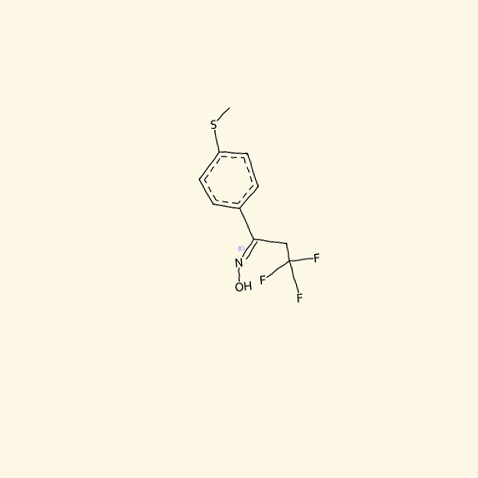 CSc1ccc(/C(CC(F)(F)F)=N/O)cc1